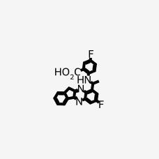 CC(Nc1ccc(F)cc1C(=O)O)c1cc(F)cc2nc3c(nc12)Cc1ccccc1-3